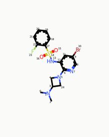 CN(C)C1CN(c2ncc(Br)cc2NS(=O)(=O)c2ccccc2F)C1